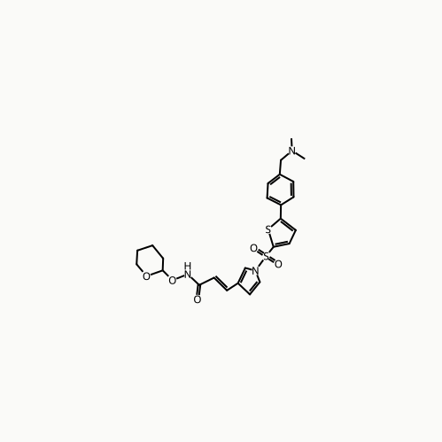 CN(C)Cc1ccc(-c2ccc(S(=O)(=O)n3ccc(C=CC(=O)NOC4CCCCO4)c3)s2)cc1